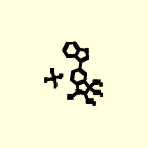 CC[N+]1=C(C)C(C)(C)c2cc(-c3csc4ccccc34)ccc21.F[B-](F)(F)F